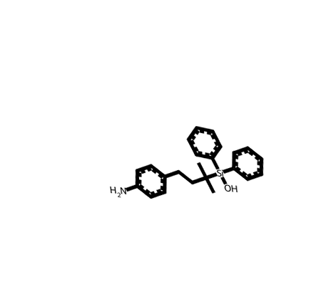 CC(C)(CCc1ccc(N)cc1)[Si](O)(c1ccccc1)c1ccccc1